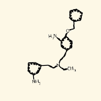 CCN(CCc1cccc(N)c1)CCc1ccc(OCc2ccccc2)c(N)c1